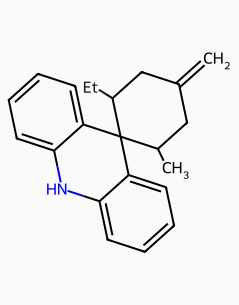 C=C1CC(C)C2(c3ccccc3Nc3ccccc32)C(CC)C1